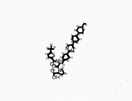 CCC1CCC(c2ccc(-c3cnc(-c4ccc(C[C@H](NC(=O)c5ccc(C(C)(C)C)s5)C(=O)N5CCCC5C(=O)O)cc4)nc3)cc2)CC1